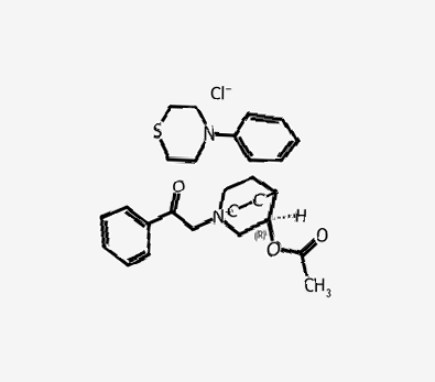 CC(=O)O[C@H]1C[N+]2(CC(=O)c3ccccc3)CCC1CC2.[Cl-].c1ccc(N2CCSCC2)cc1